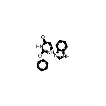 O=c1cc[nH]c(=O)[nH]1.c1ccc2[nH]cnc2c1.c1ccccc1